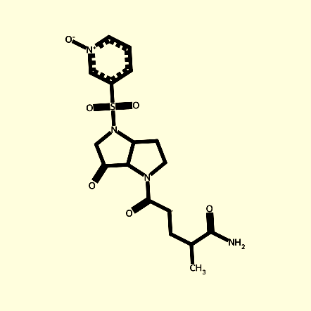 CC(C[CH]C(=O)N1CCC2C1C(=O)CN2S(=O)(=O)c1ccc[n+]([O-])c1)C(N)=O